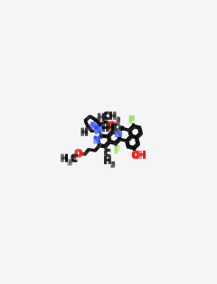 C#Cc1c(F)ccc2cc(O)cc(-c3nc4c5c(nc(CCCOC)c(C)c5c3F)N3C[C@H]5CC[C@H](N5)[C@H]3[C@H](C)O4)c12